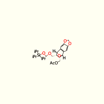 CC(=O)OC[C@@H]1[C@H](COCO[Si](C(C)C)(C(C)C)C(C)C)[C@H]2O[C@@H]1c1cc3c(cc12)OCO3